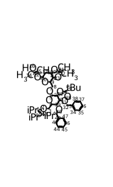 CC(C)[Si](OCC1O[C@@H](OCC2OC(OC(C)(C)O)CC3OC(C)(C)OC23)C(OC(=O)C(C)(C)C)C(OCc2ccccc2)[C@@H]1OCc1ccccc1)(C(C)C)C(C)C